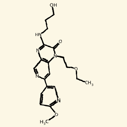 CCOCCn1c(=O)c(NCCCO)nc2cnc(-c3ccc(OC)nc3)cc21